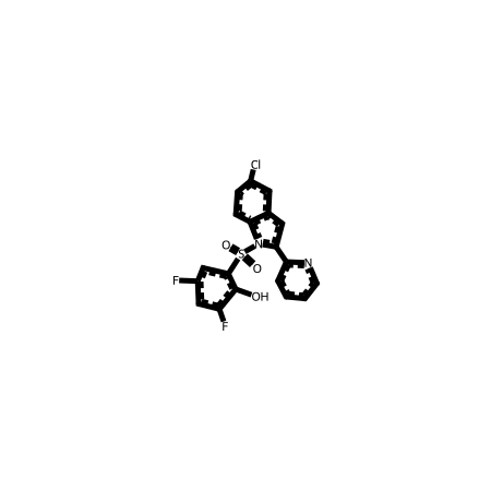 O=S(=O)(c1cc(F)cc(F)c1O)n1c(-c2ccccn2)cc2cc(Cl)ccc21